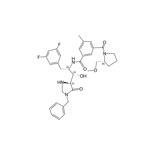 COC[C@H]1CCCN1C(=O)c1cc(C)cc(C(=O)N[C@@H](Cc2cc(F)cc(F)c2)[C@H](O)[C@@H]2NCN(Cc3ccccc3)C2=O)c1